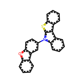 c1ccc2c(c1)oc1ccc(-n3c4ccccc4c4c5ccccc5sc43)cc12